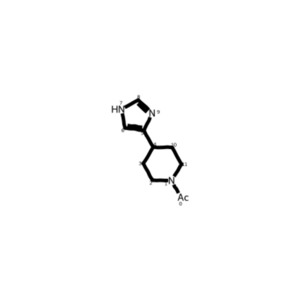 CC(=O)N1CCC(c2c[nH]cn2)CC1